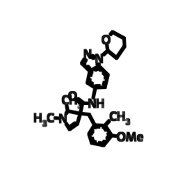 COc1cccc(CC2(C(=O)Nc3ccc4c(cnn4C4CCCCO4)c3)C=CN(C)C2C)c1C